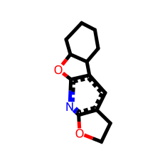 c1c2c(nc3c1C1CCCCC1O3)OCC2